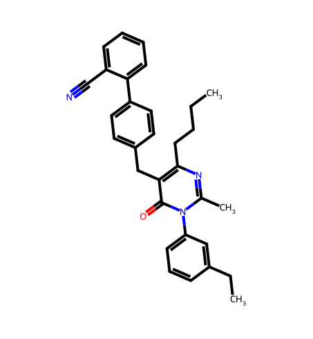 CCCCc1nc(C)n(-c2cccc(CC)c2)c(=O)c1Cc1ccc(-c2ccccc2C#N)cc1